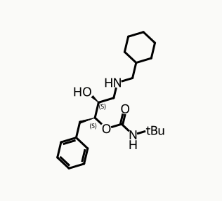 CC(C)(C)NC(=O)O[C@@H](Cc1ccccc1)[C@@H](O)CNCC1CCCCC1